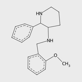 COc1ccccc1CNC1CCCNC1c1ccccc1